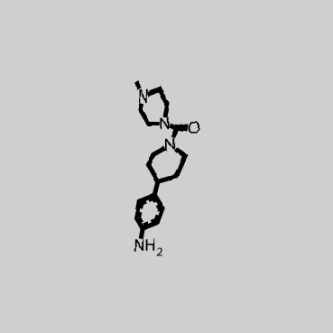 CN1CCN(C(=O)N2CCC(c3ccc(N)cc3)CC2)CC1